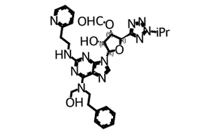 CC(C)n1nnc([C@H]2O[C@@H](n3cnc4c(N(CO)CCc5ccccc5)nc(NCCc5ccccn5)nc43)[C@H](O)[C@@H]2OC=O)n1